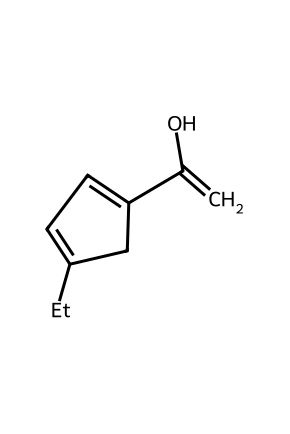 C=C(O)C1=CC=C(CC)C1